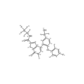 Cc1cc(F)cc(C)c1Oc1ccc(C(C)(C)O)cc1-c1cn(C)c(=O)c2sc(C(=O)NC(C)(C)C(F)(F)F)cc12